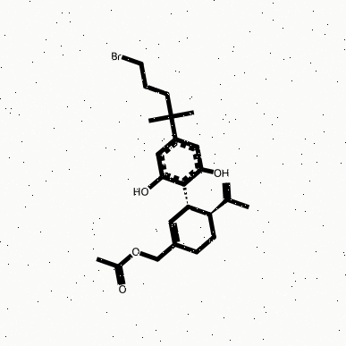 C=C(C)[C@H]1CCC(COC(C)=O)=C[C@@H]1c1c(O)cc(C(C)(C)CCCBr)cc1O